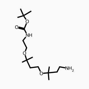 CC(C)(C)OC(=O)NCCOC(C)(C)CCOC(C)(C)CCN